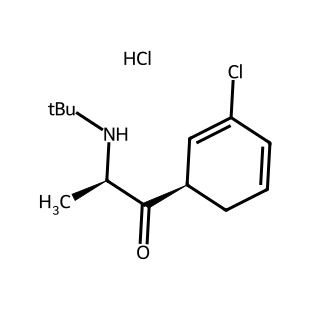 C[C@@H](NC(C)(C)C)C(=O)[C@H]1C=C(Cl)C=CC1.Cl